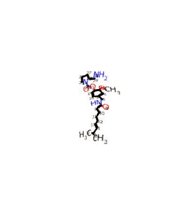 COc1cc(CNC(=O)CCCC/C=C/C(C)C)ccc1OC(=O)N1CCCC1CN